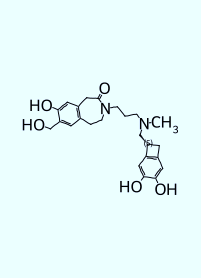 CN(CCCN1CCc2cc(CO)c(O)cc2CC1=O)C[C@H]1Cc2cc(O)c(O)cc21